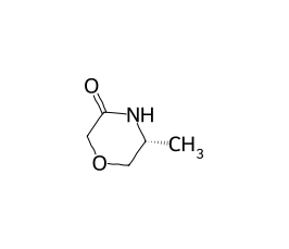 C[C@@H]1COCC(=O)N1